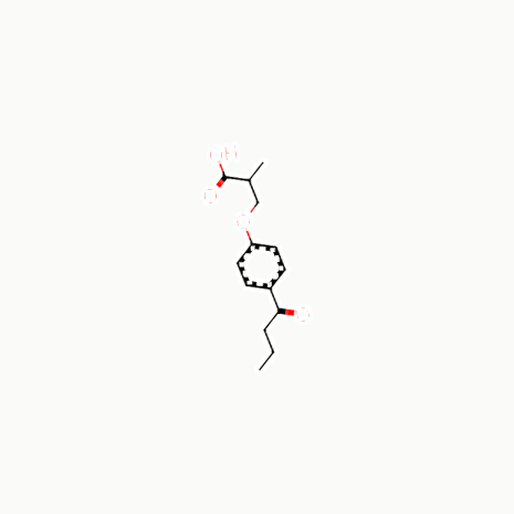 CCCC(=O)c1ccc(OCC(C)C(=O)O)cc1